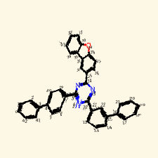 c1ccc(-c2ccc(-c3nc(-c4cccc(-c5ccccc5)c4)nc(-c4ccc5oc6ccccc6c5c4)n3)cc2)cc1